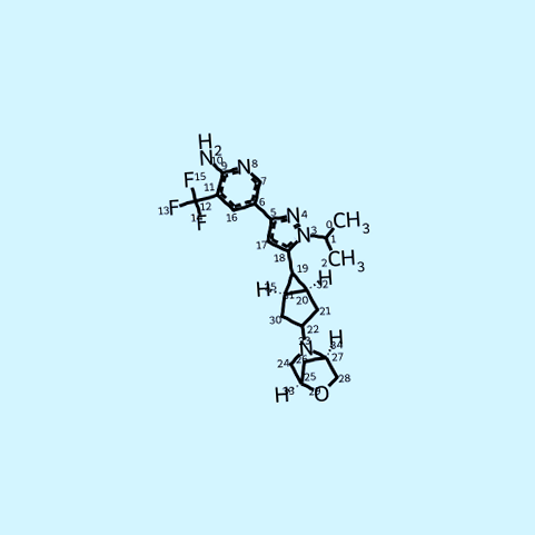 CC(C)n1nc(-c2cnc(N)c(C(F)(F)F)c2)cc1C1[C@H]2CC(N3C[C@H]4C[C@@H]3CO4)C[C@@H]12